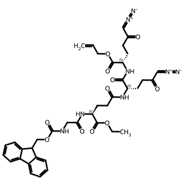 C=CCOC(=O)[C@H](CCC(=O)C=[N+]=[N-])NC(=O)[C@H](CCC(=O)C=[N+]=[N-])NC(=O)CC[C@H](NC(=O)CNC(=O)OCC1c2ccccc2-c2ccccc21)C(=O)OCC